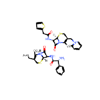 CC(=O)OCC1=C(C(=O)O)N2C(=O)[C@@H](NC(=O)[C@H](N)c3ccccc3)[C@H]2SC1.O=C(Cc1cccs1)N[C@@H]1C(=O)N2C(C(=O)[O-])=C(C[n+]3ccccc3)CS[C@H]12